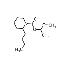 CCCCC1CCCCN1C(C)OC(C)OC